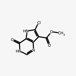 COC(=O)c1c(Cl)[nH]c2c(=O)[nH]cnc12